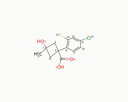 CC1(O)CC(C(=O)O)(c2ccc(Cl)cc2F)C1